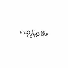 O=C(N[C@@H]1CCc2cc(-c3noc(C(F)F)n3)ccc21)c1cccc(CO)c1F